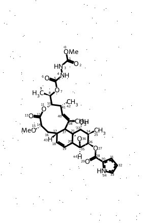 COC(=O)NNC(=O)O[C@H](C)[C@H]1OC(=O)[C@@H](OC)C[C@H]2C=CC3C4[C@H](O)[C@@H](C)[C@@H](OC(=O)c5ccc[nH]5)[C@@H]3O[C@]42/C(C)=C/[C@H]1C